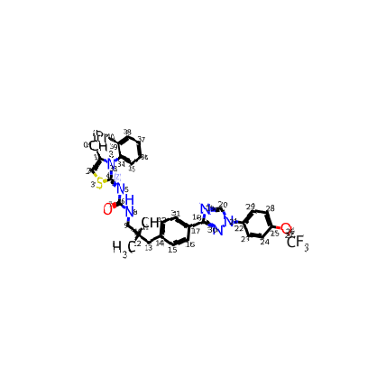 Cc1cs/c(=N\C(=O)NCC(C)(C)Cc2ccc(-c3ncn(-c4ccc(OC(F)(F)F)cc4)n3)cc2)n1-c1ccccc1C(C)C